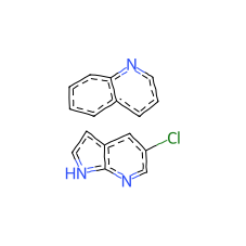 Clc1cnc2[nH]ccc2c1.c1ccc2ncccc2c1